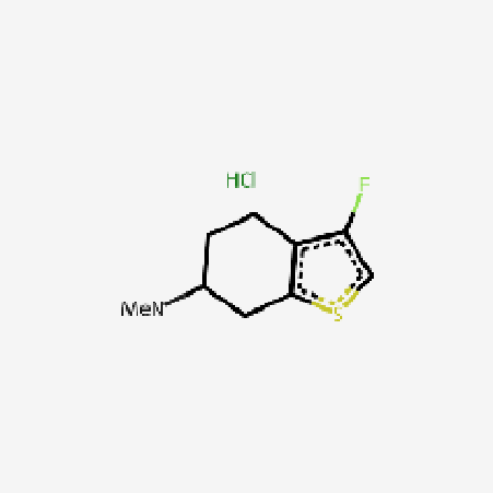 CNC1CCc2c(F)csc2C1.Cl